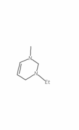 CCN1CC=CN(C)C1